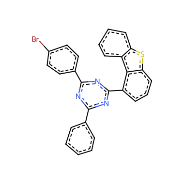 Brc1ccc(-c2nc(-c3ccccc3)nc(-c3cccc4sc5ccccc5c34)n2)cc1